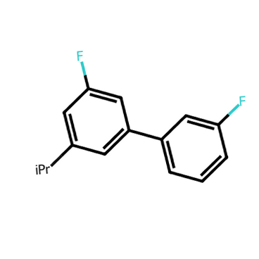 CC(C)c1cc(F)cc(-c2cccc(F)c2)c1